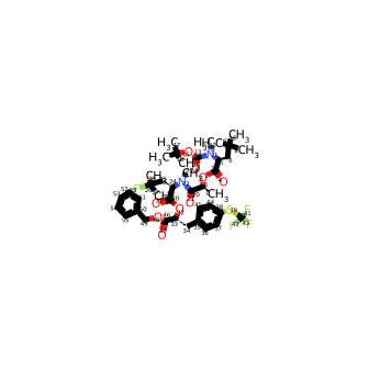 C[C@@H](OC(=O)[C@H](CC(C)(C)C)N(C)C(=O)OC(C)(C)C)C(=O)N(C)[C@@H](CC(C)(C)F)C(=O)O[C@H](Cc1ccc(SC(F)(F)F)cc1)C(=O)OCc1ccccc1